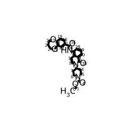 CCOC(=O)N1CCC(n2ccc3c(NC(=O)c4ccc5c(c4)OCCCO5)cccc3c2=O)CC1